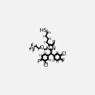 C[Si](C)(C)CCOCn1c(C(c2ccc(F)c(Cl)c2)c2ccc(F)c(Cl)c2)nc(I)c1CCCCS